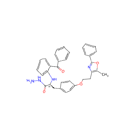 Cc1oc(-c2ccccc2)nc1CCOc1ccc(C[C@H](Nc2ccccc2C(=O)c2ccccc2)C(=O)NN)cc1